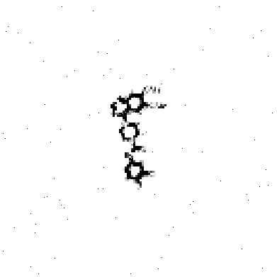 COc1cc2ncnc(N3CCN(C(=O)Nc4ccc(F)c(Cl)c4)CC3)c2cc1OC